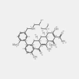 COc1ccc(CNCCF)cc1-c1ccc(O)c2c1C[C@H]1C[C@H]3[C@H](N(C)C)C(O)=C(C(N)=O)C(=O)[C@@]3(O)C(O)=C1C2=O